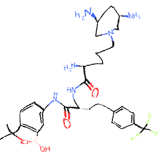 CC1(C)OB(O)c2cc(NC(=O)[C@@H](CCc3ccc(C(F)(F)F)cc3)NC(=O)[C@@H](N)CCCN3C[C@H](N)C[C@H](N)C3)ccc21